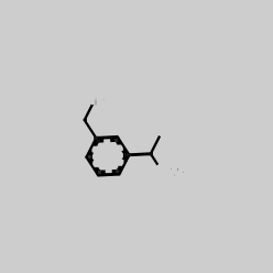 COC(C)c1cccc(CC(C)C)c1